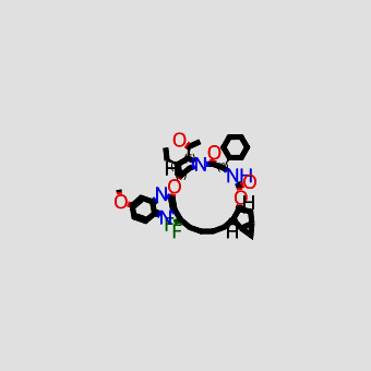 CC[C@@H]1[C@@H]2CN(C(=O)[C@H](C3CCCCC3)NC(=O)O[C@@H]3CC4CC4[C@H]3CCCCC(F)(F)c3nc4ccc(OC)cc4nc3O2)[C@@H]1C(C)=O